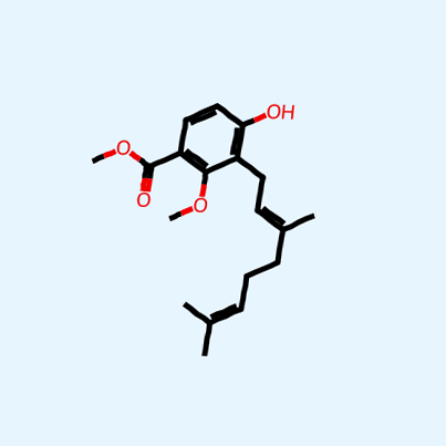 COC(=O)c1ccc(O)c(C/C=C(\C)CCC=C(C)C)c1OC